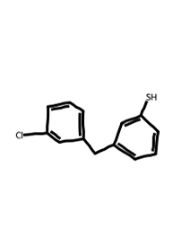 Sc1cccc(Cc2cccc(Cl)c2)c1